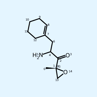 C[C@]1(C(=O)C(N)CC2=CCCCC2)CO1